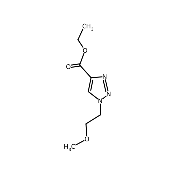 CCOC(=O)c1cn(CCOC)nn1